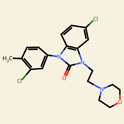 [CH2]c1ccc(-n2c(=O)n(CCN3CCOCC3)c3cc(Cl)ccc32)cc1Cl